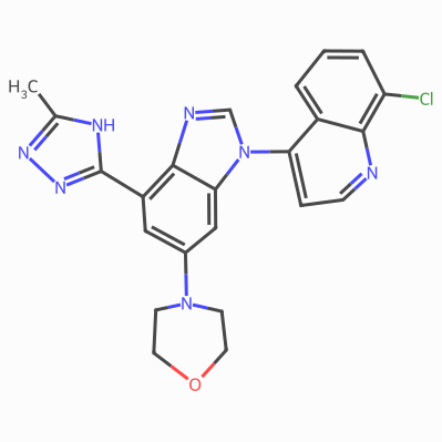 Cc1nnc(-c2cc(N3CCOCC3)cc3c2ncn3-c2ccnc3c(Cl)cccc23)[nH]1